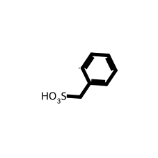 O=S(=O)(O)Cc1[c]cccc1